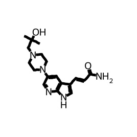 CC(C)(O)CN1CCN(c2cnc3[nH]cc(C=CC(N)=O)c3c2)CC1